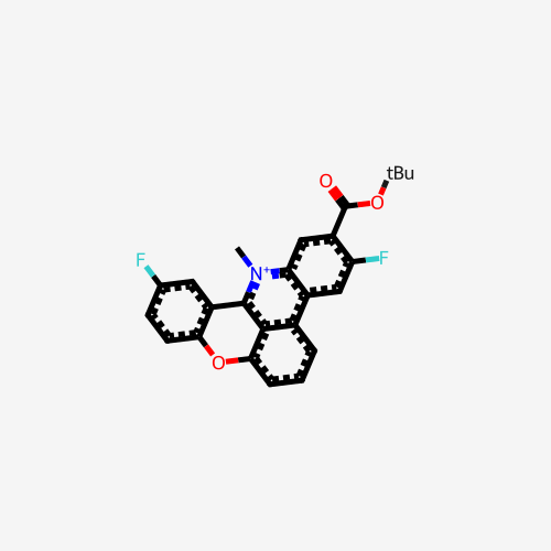 C[n+]1c2c3c(cccc3c3cc(F)c(C(=O)OC(C)(C)C)cc31)Oc1ccc(F)cc1-2